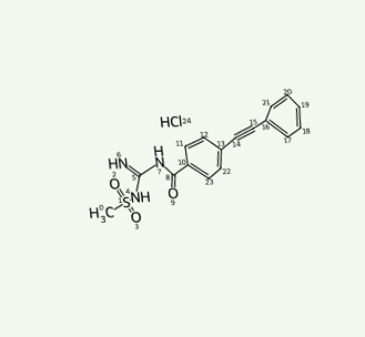 CS(=O)(=O)NC(=N)NC(=O)c1ccc(C#Cc2ccccc2)cc1.Cl